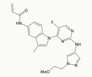 C=CC(=O)Nc1ccc2c(c1)c(C)cn2-c1nc(Nc2cnn(CCOC)c2)ncc1F